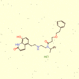 CC(C)C(C)N(CCNCCc1ccc(O)c2[nH]c(=O)ccc12)C(=O)CCOCCc1ccccc1.Cl